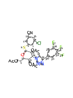 CC(=O)OCC1OC(Sc2cc(Cl)cc(C#N)c2)C(OC(C)=O)C(n2cc(-c3cc(F)c(F)c(F)c3)nn2)C1OC(C)=O